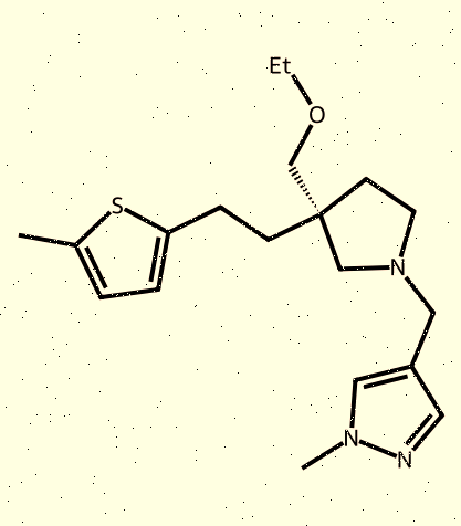 CCOC[C@]1(CCc2ccc(C)s2)CCN(Cc2cnn(C)c2)C1